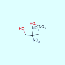 CC(CO)([N+](=O)[O-])[N+](=O)[O-].O=[N+]([O-])O